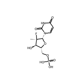 C[C@@]1(F)[C@H](O)[C@@H](COP(=O)(O)O)O[C@H]1n1ccc(=O)[nH]c1=O